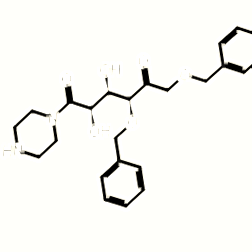 O=C(COCc1ccccc1)[C@@H](OCc1ccccc1)[C@H](O)[C@@H](O)C(=O)N1CCNCC1